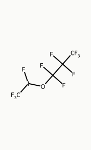 FI(OC(F)(F)C(F)(F)C(F)(F)F)C(F)(F)F